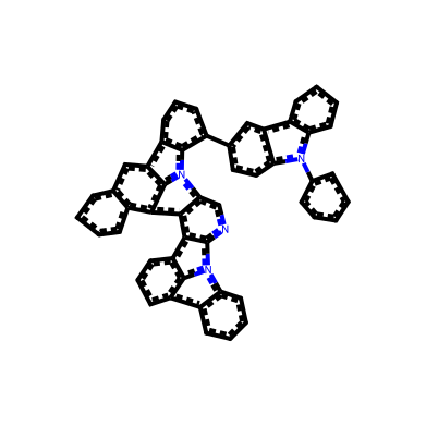 c1ccc(-n2c3ccccc3c3cc(-c4cccc5c6cc7ccccc7c7c8c9c%10cccc%11c%12ccccc%12n(c9ncc8n(c45)c67)c%11%10)ccc32)cc1